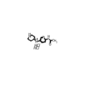 CC(=O)Nc1ccc(NC2CCNCC2)cn1.Cl.Cl